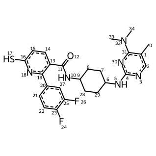 Cc1cnc(NC2CCC(NC(=O)c3ccc(S)nc3-c3ccc(F)c(F)c3)CC2)nc1N(C)C